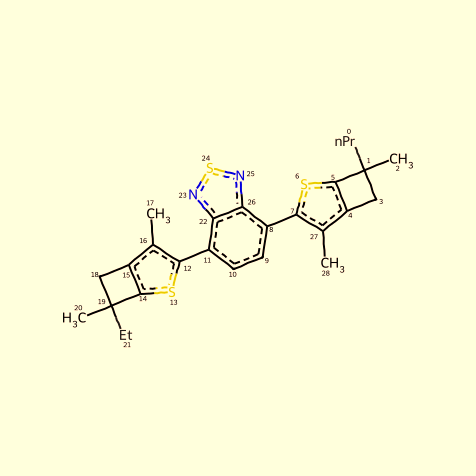 CCCC1(C)Cc2c1sc(-c1ccc(-c3sc4c(c3C)CC4(C)CC)c3nsnc13)c2C